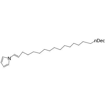 CCCCCCCCCCCCCCCCCCCCCCCCC=Cn1cccc1